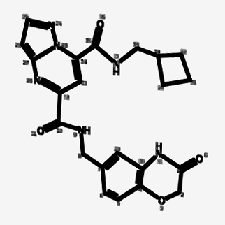 O=C1COc2ccc(CNC(=O)c3cc(C(=O)NCC4CCC4)n4nccc4n3)cc2N1